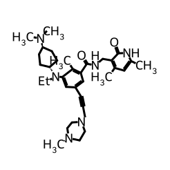 CCN(c1cc(C#CCN2CCN(C)CC2)cc(C(=O)NCc2c(C)cc(C)[nH]c2=O)c1C)[C@H]1CC[C@H](N(C)C)CC1